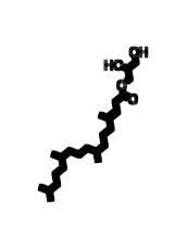 C/C(=C\CC(=O)OCC(O)CO)CCCC(C)CCCC(C)CCCC(C)C